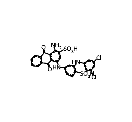 Nc1c(S(=O)(=O)O)cc(Nc2ccc(S(=O)(=O)O)c(Nc3cc(Cl)cc(Cl)c3)c2)c2c1C(=O)c1ccccc1C2=O